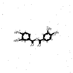 CCCc1ccc(C(=O)OC(=O)c2ccc(CCC)c(CCC)c2)cc1CCC